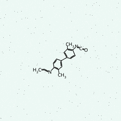 C=C=Nc1ccc(-c2ccc(N=C=O)c(C)c2)cc1C